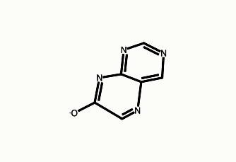 [O]c1cnc2cncnc2n1